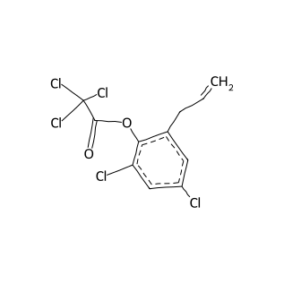 C=CCc1cc(Cl)cc(Cl)c1OC(=O)C(Cl)(Cl)Cl